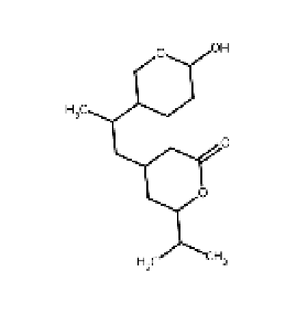 CC(C)C1CC(CC(C)C2CCC(O)OC2)CC(=O)O1